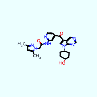 Cc1cc(C)n(CC(=O)Nc2cc(C(=O)c3cn([C@H]4CC[C@H](O)CC4)c4ncncc34)ccn2)n1